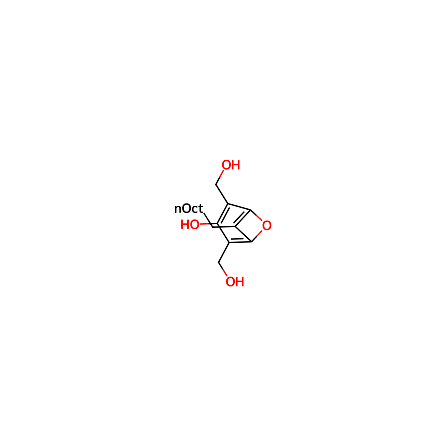 CCCCCCCCCc1c2c(CO)c(O)c(CO)c1O2